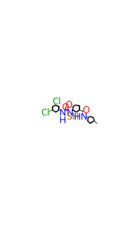 COc1ccc(C(=O)Nc2ccc(C)cc2)cc1N(S)C(=O)Nc1cc(Cl)cc(Cl)c1